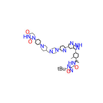 Cc1cc(-c2n[nH]c3ncc(-c4ccc(N5CCN(CC6CCN(c7ccc(N8CCC(=O)NC8=O)cc7)CC6)CC5)cn4)cc23)ccc1[C@@H](C)NC(=O)c1noc(C(C)(C)C)n1